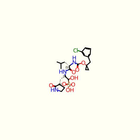 CC(C)C[C@H](NC(=O)OC1(Cc2cccc(Cl)c2)CC1)C(=O)N[C@@H](C[C@@H]1CCNC1=O)C(O)S(=O)(=O)O